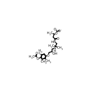 CC(=O)Oc1c(C)cc(OCC(O)CNC(C)(C)CNC(=O)CC(C)O[N+](=O)[O-])c(C)c1C